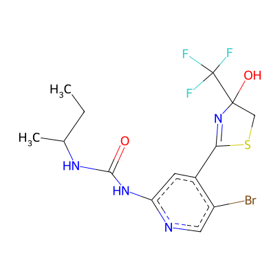 CCC(C)NC(=O)Nc1cc(C2=NC(O)(C(F)(F)F)CS2)c(Br)cn1